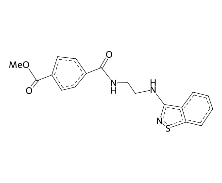 COC(=O)c1ccc(C(=O)NCCNc2nsc3ccccc23)cc1